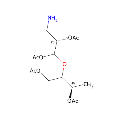 CC(=O)OCC(OC(OC(C)=O)[C@H](CN)OC(C)=O)[C@@H](C)OC(C)=O